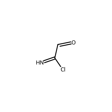 N=C(Cl)C=O